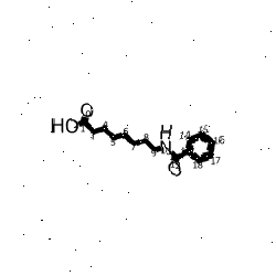 O=C(O)CCCCCCCNC(=O)c1ccccc1